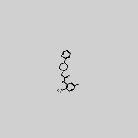 Cc1ccc([N+](=O)[O-])c(NC(=O)CN2CCC(c3ccccn3)CC2)c1